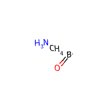 C.N.[B]=O